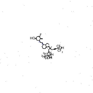 [2H]C([2H])([2H])C(O)(CCC[C@@](C)(CC#CC(O)(C(F)(F)F)C(F)(F)F)[C@H]1CCC2/C(=C/C=C3/C[C@@H](O)C[C@H](F)C3=C)CCC[C@@]21C)C([2H])([2H])[2H]